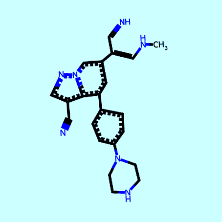 CN/C=C(\C=N)c1cc(-c2ccc(N3CCNCC3)cc2)c2c(C#N)cnn2c1